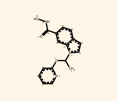 CC(Oc1ccccn1)n1ccc2ccc(C(=O)NO)cc21